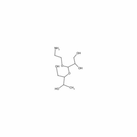 CC(O)C(CO)OC(OCCN)C(O)CO